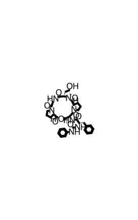 C[C@@H]1NC(=O)[C@H](CCO)N(C)C(=O)[C@@H]2CCCN2C(=O)[C@@H](NC(=O)[C@H](Cc2ccccc2)NC(=O)Nc2ccccc2)[C@H](C)OC(=O)[C@@H]2CCCN2C1=O